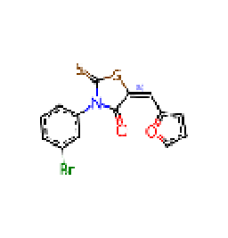 O=C1/C(=C\c2ccco2)SC(=S)N1c1cccc(Br)c1